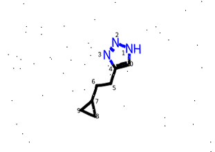 c1[nH]nnc1CCC1CC1